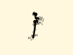 C=CC(=O)NCCOCCOCCOCC(=O)Nc1cccc2c([C@H]3CN(Cc4cccc5c4OCO5)C[C@@H]3N(C)C)cn(C)c12